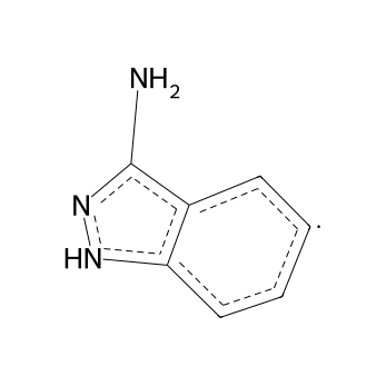 Nc1n[nH]c2cc[c]cc12